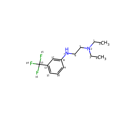 CCN(CC)CCNc1cccc(C(F)(F)F)c1